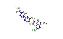 COc1ncc(Cl)cc1C(=O)N1CCc2cnc(N3CCN(C4CCC4)CC3)nc2CC1